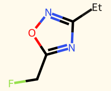 CCc1noc(CF)n1